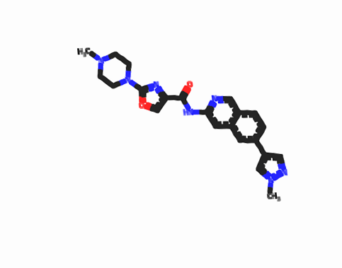 CN1CCN(c2nc(C(=O)Nc3cc4cc(-c5cnn(C)c5)ccc4cn3)co2)CC1